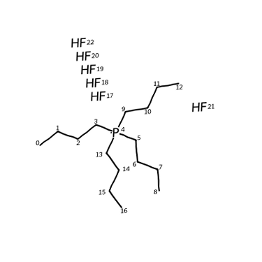 CCCC[P](CCCC)(CCCC)CCCC.F.F.F.F.F.F